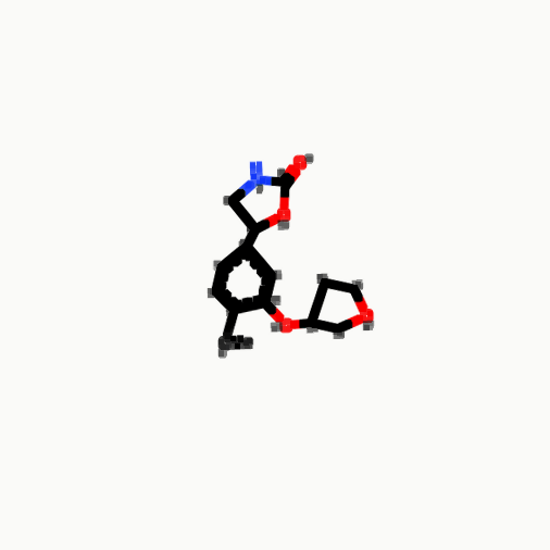 COc1ccc(C2CNC(=O)O2)cc1OC1CCOC1